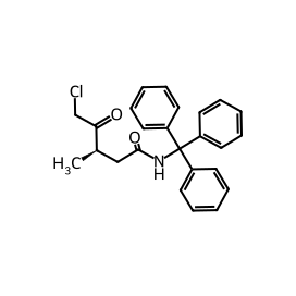 C[C@H](CC(=O)NC(c1ccccc1)(c1ccccc1)c1ccccc1)C(=O)CCl